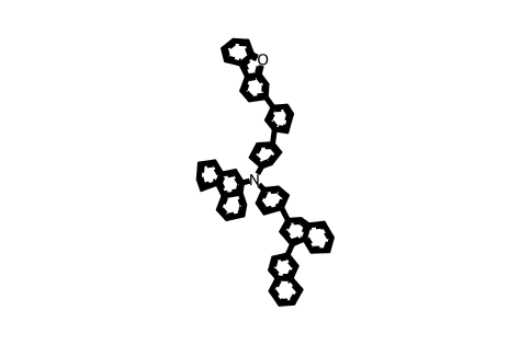 c1cc(-c2ccc(N(c3ccc(-c4cc(-c5ccc6ccccc6c5)c5ccccc5c4)cc3)c3cc4ccccc4c4ccccc34)cc2)cc(-c2ccc3c(c2)oc2ccccc23)c1